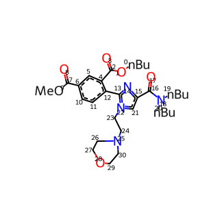 CCCCOC(=O)c1cc(C(=O)OC)ccc1-c1nc(C(=O)N(CCCC)CCCC)cn1CCN1CCOCC1